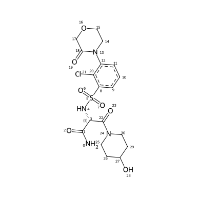 NC(=O)[C@H](NS(=O)(=O)c1cccc(N2CCOCC2=O)c1Cl)C(=O)N1CCC(O)CC1